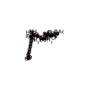 CC(=O)Oc1cc2c(c3ccccc13)[C@H](CCl)CN2C(=O)c1ccc(C(=O)N2C[C@@H](CCl)c3c2cc(OC(=O)N(C)CCN(C)C(=O)OCc2ccc(NC(=O)[C@H](CCCNN)NC(=O)[C@@H](NC(=O)CCOCCOCCOCCOCCOCCOCCN4C(=O)C=CC4=O)C(C)C)cc2)c2ccccc32)s1